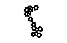 c1ccc(-c2ccc3ccc4ccc(-c5ccc(-c6ccc7c8c(ccc7c6)C(c6ccccc6)(c6ccccc6)c6ccccc6-8)cc5)nc4c3n2)cc1